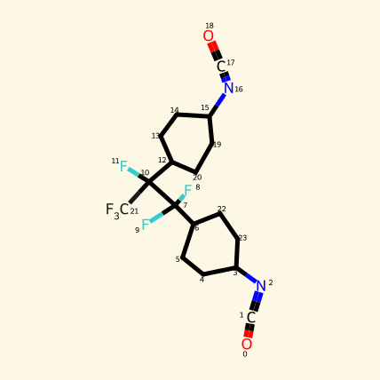 O=C=NC1CCC(C(F)(F)C(F)(C2CCC(N=C=O)CC2)C(F)(F)F)CC1